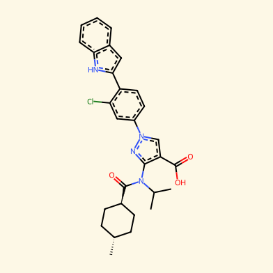 CC(C)N(c1nn(-c2ccc(-c3cc4ccccc4[nH]3)c(Cl)c2)cc1C(=O)O)C(=O)[C@H]1CC[C@H](C)CC1